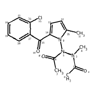 CC(=O)N(C)N(C(C)=O)n1c(C)ccc1C(=O)c1ccccc1Cl